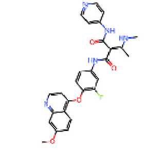 CN/C(C)=C(\C(=O)Nc1ccncc1)C(=O)Nc1ccc(Oc2ccnc3cc(OC)ccc23)c(F)c1